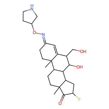 CC12CCC3C(C(O)C(CO)C4=C/C(=N/OC5CCNC5)CCC43C)C1CC(F)C2=O